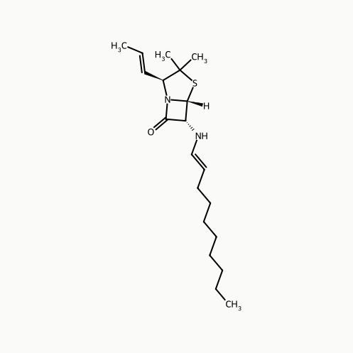 CC=C[C@@H]1N2C(=O)[C@@H](N/C=C/CCCCCCCC)[C@H]2SC1(C)C